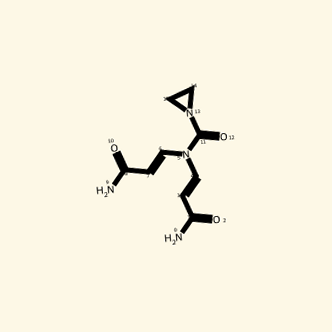 NC(=O)C=CN(C=CC(N)=O)C(=O)N1CC1